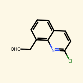 O=CCc1cccc2ccc(Cl)nc12